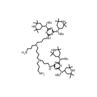 CCCCN(c1nc(NCCCN(CCCN)CCCCN(CCCN)CCCNc2nc(N(CCCC)C3CC(C)(C)NC(C)(C)C3)nc(N(CCCC)C3CC(C)(C)NC(C)(C)C3)n2)nc(N(CCCC)C2CC(C)(C)NC(C)(C)C2)n1)C1CC(C)(C)NC(C)(C)C1